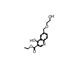 CCOC(=O)c1cnc2ccc(COCCO)cc2c1O